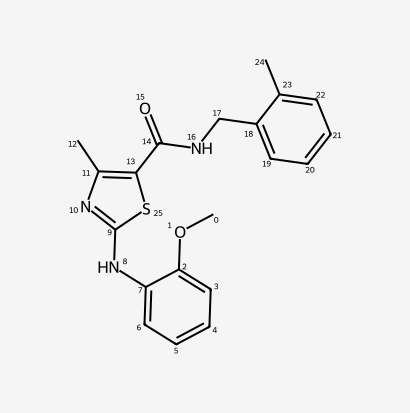 COc1ccccc1Nc1nc(C)c(C(=O)NCc2ccccc2C)s1